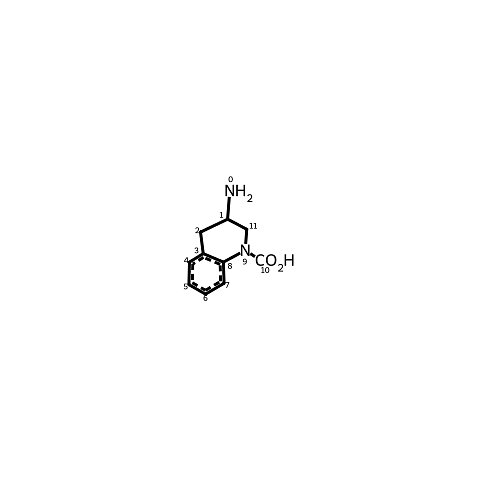 NC1Cc2ccccc2N(C(=O)O)C1